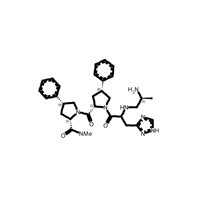 CNC(=O)[C@@H]1C[C@H](c2ccccc2)CN1C(=O)[C@@H]1C[C@H](c2ccccc2)CN1C(=O)C(Cc1nc[nH]n1)NC[C@H](C)N